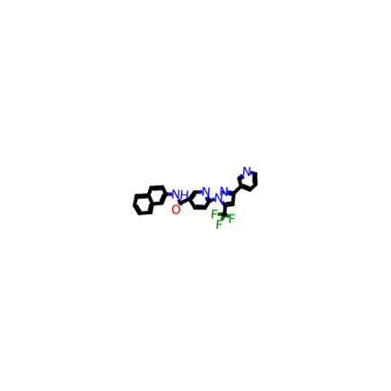 O=C(Nc1ccc2ccccc2c1)c1ccc(-n2nc(-c3cccnc3)cc2C(F)(F)F)nc1